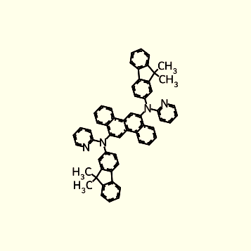 CC1(C)c2ccccc2-c2ccc(N(c3ccccn3)c3cc4c5ccccc5c(N(c5ccc6c(c5)C(C)(C)c5ccccc5-6)c5ccccn5)cc4c4ccccc34)cc21